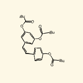 CCC(C)C(=O)Oc1ccc(/C=C\c2cc(OC(=O)C(C)CC)cc(OC(=O)C(C)CC)c2)cc1